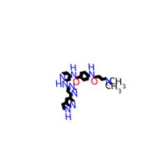 CN(C)C/C=C/C(=O)Nc1ccc(C(=O)Nc2ccnc(Nc3cc(-c4cnc5[nH]ccc5c4)ncn3)c2)cc1